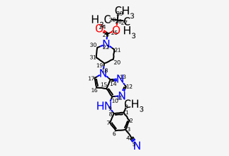 Cc1cc(C#N)ccc1Nc1ncnc2c1ccn2C1CCN(C(=O)OC(C)(C)C)CC1